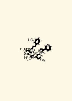 CC(C)[C@H](NC(=O)CCc1ccccc1)C(=O)N[C@@H](C)C(=O)NC(CC(=O)O)C(=O)Cn1nnc(-c2cccnc2)n1.Cl